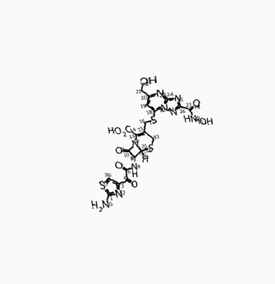 Nc1nc(C(=O)C(=O)N[C@@H]2C(=O)N3C(C(=O)O)=C(CSc4cc(CO)nc5nc(C(=O)NO)nn45)CS[C@H]23)cs1